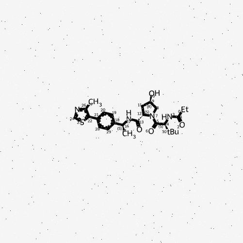 CCC(=O)N[C@H](C(=O)N1C[C@H](O)C[C@H]1C(=O)N[C@@H](C)c1ccc(-c2scnc2C)cc1)C(C)(C)C